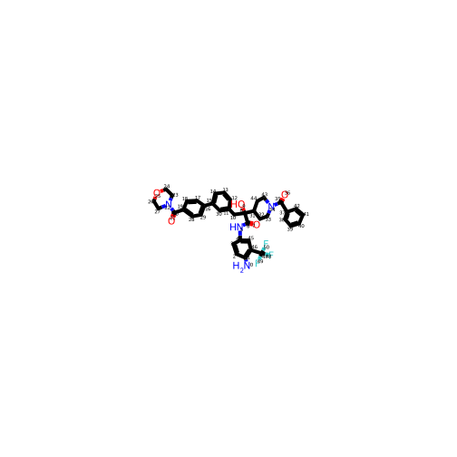 Nc1ccc(NC(=O)C(O)(Cc2cccc(-c3ccc(C(=O)N4CCOCC4)cc3)c2)C2CCN(C(=O)c3ccccc3)CC2)cc1C(F)(F)F